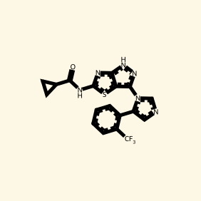 O=C(Nc1nc2[nH]nc(-n3cncc3-c3ccccc3C(F)(F)F)c2s1)C1CC1